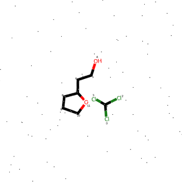 ClC(Cl)Cl.OCCC1CCCO1